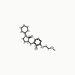 COCCOc1cccc(CC2CCN(C3CCCCC3)C2=O)c1Cl